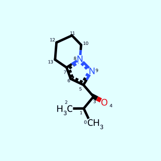 CC(C)C(=O)c1cc2n(n1)CCCC2